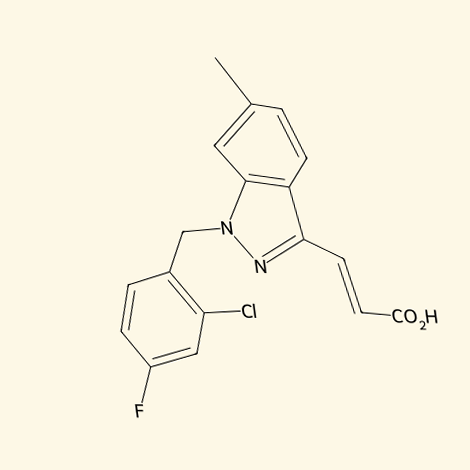 Cc1ccc2c(/C=C/C(=O)O)nn(Cc3ccc(F)cc3Cl)c2c1